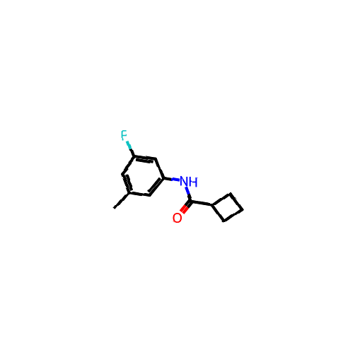 Cc1cc(F)cc(NC(=O)C2CCC2)c1